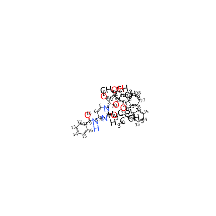 CO[C@H]1C(n2ccc(NC(=O)c3ccccc3)nc2=O)O[C@@](CO[Si](c2ccccc2)(c2ccccc2)C(C)(C)C)(C(C)C)[C@H]1O